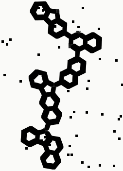 c1ccc2c(c1)ccc1c2c2ccccc2n1-c1ccc2cc3c(cc2c1)c1ccccc1n3-c1ccc2ccc(-c3nc(-c4ccc5c(c4)oc4ccccc45)nc4ccccc34)cc2c1